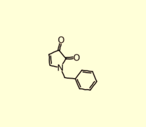 O=C1C=CN(Cc2ccccc2)C1=O